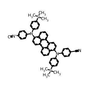 [C-]#[N+]c1ccc(N(c2ccc([Si](C)(C)C)cc2)c2ccc3c4cccc5c(N(c6ccc(C#N)cc6)c6ccc([Si](C)(C)C)cc6)ccc(c6cccc2c63)c54)cc1